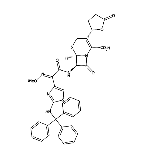 CO/N=C(/C(=O)N[C@@H]1C(=O)N2C(C(=O)O)=C([C@@H]3CCC(=O)O3)CS[C@H]12)c1csc(NC(c2ccccc2)(c2ccccc2)c2ccccc2)n1